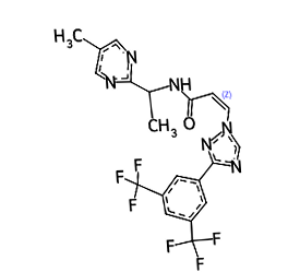 Cc1cnc(C(C)NC(=O)/C=C\n2cnc(-c3cc(C(F)(F)F)cc(C(F)(F)F)c3)n2)nc1